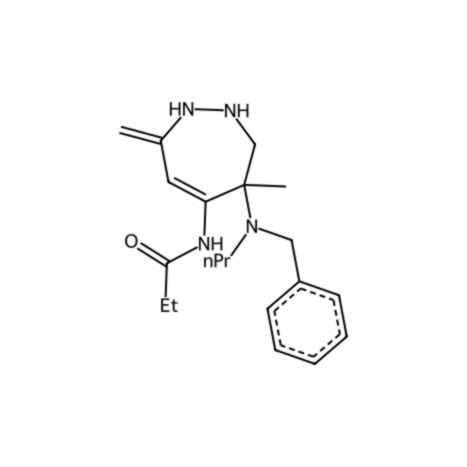 C=C1C=C(NC(=O)CC)C(C)(N(CCC)Cc2ccccc2)CNN1